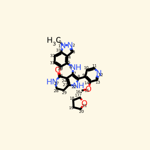 Cn1ncc2c(Nc3c(-c4ccncc4OC[C@H]4CCCO4)[nH]c4c3C(=O)NCC4)cccc21